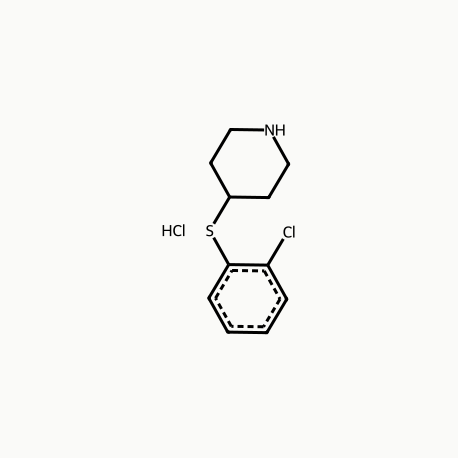 Cl.Clc1ccccc1SC1CCNCC1